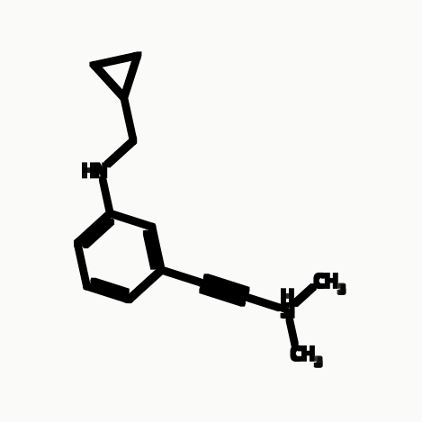 C[SiH](C)C#Cc1cccc(NCC2CC2)c1